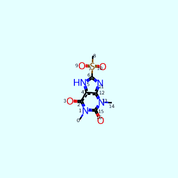 Cn1c(=O)c2[nH]c(S(C)(=O)=O)nc2n(C)c1=O